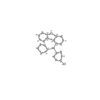 Clc1ccc(N(c2ccccc2)c2cccc3oc4ccccc4c23)cc1